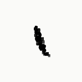 COC(=O)CC1CCc2cc(NC(=O)c3ccc(C=NN)cc3)ccc2O1.Cl